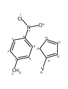 Cc1ccc(N(Cl)Cl)cc1.[V][C]1=CC=CC1